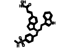 CNS(=O)(=O)c1ccc(CN(CCc2c[nH]c3ccccc23)C2CCc3cc(C=CC(=O)NO)ccc32)cc1